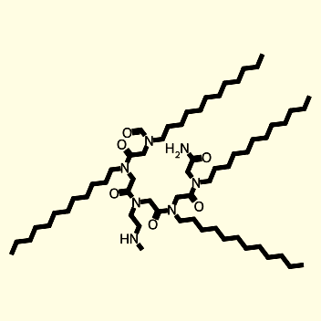 CCCCCCCCCCCCN(C=O)CC(=O)N(CCCCCCCCCCCC)CC(=O)N(CCNC)CC(=O)N(CCCCCCCCCCCC)CC(=O)N(CCCCCCCCCCCC)CC(N)=O